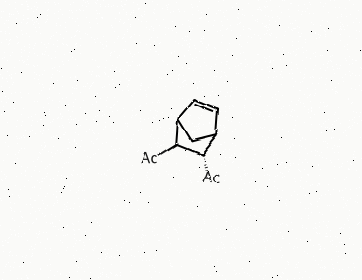 CC(=O)C1C2C=CC(C2)[C@@H]1C(C)=O